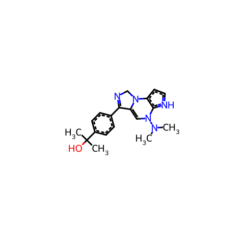 CN(C)N1C=C2C(c3ccc(C(C)(C)O)cc3)=NCN2c2cc[nH]c21